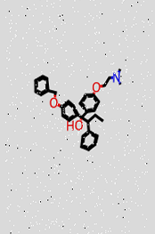 CCC(c1ccccc1)C(O)(c1ccc(OCCN(C)C)cc1)c1ccc(OCc2ccccc2)cc1